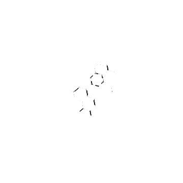 C=C(N)C(=C)/C=C\C=C(\C=C(C)C)c1cc(OC)c(C(=O)NCC)c(OC(F)F)c1